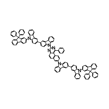 c1ccc(-c2nc(-n3c4ccccc4c4cc(-c5ccc6c(c5)c5ccccc5n6-c5ccc6c(c5)C(c5ccccc5)(c5ccccc5)c5ccccc5-6)ccc43)nc3ccc4cc(-n5c6ccccc6c6cc(-c7ccc8c(c7)c7ccccc7n8-c7ccc8c(c7)C(c7ccccc7)(c7ccccc7)c7ccccc7-8)ccc65)ccc4c23)cc1